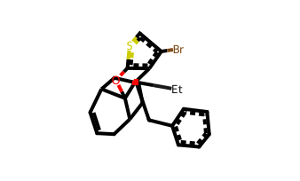 CCC1=C(Cc2ccccc2)C2(Oc3scc(Br)c31)C1C=CCC2CCC1